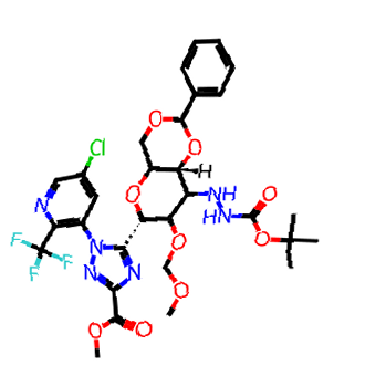 COCOC1C(NNC(=O)OC(C)(C)C)[C@H]2OC(c3ccccc3)OCC2O[C@H]1c1nc(C(=O)OC)nn1-c1cc(Cl)cnc1C(F)(F)F